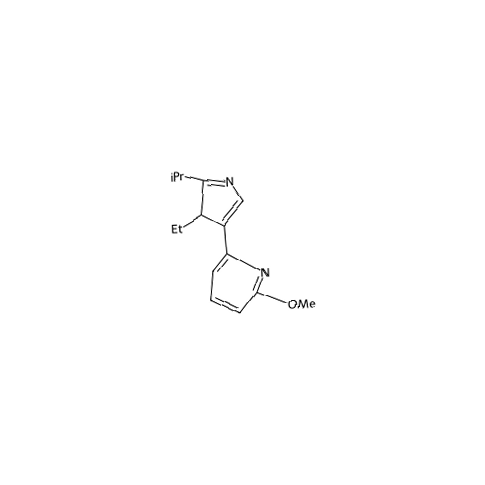 CCC1C(c2cccc(OC)n2)=CN=C1C(C)C